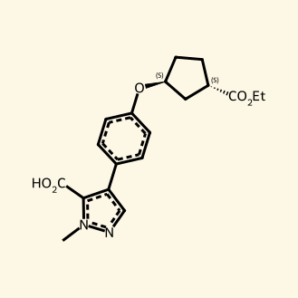 CCOC(=O)[C@H]1CC[C@H](Oc2ccc(-c3cnn(C)c3C(=O)O)cc2)C1